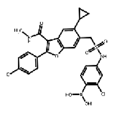 CNC(=O)c1c(-c2ccc(Cl)cc2)oc2cc(CS(=O)(=O)Nc3ccc(B(O)O)c(Cl)c3)c(C3CC3)cc12